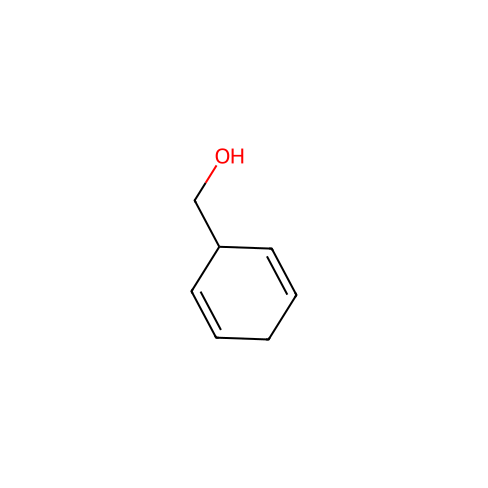 OCC1C=CCC=C1